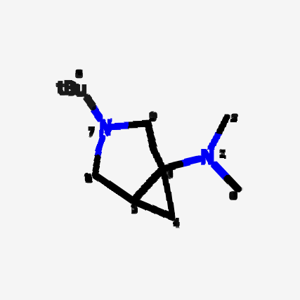 CN(C)C12CC1CN(C(C)(C)C)C2